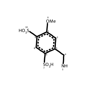 COc1cc(C[NH])c(S(=O)(=O)O)cc1S(=O)(=O)O